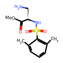 COC(=O)[C@H](CN)NS(=O)(=O)c1c(C)cccc1C